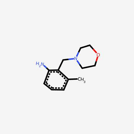 Cc1cccc(N)c1CN1CCOCC1